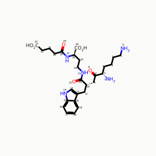 NCCCC[C@H](N)C(=O)C[C@H](Cc1c[nH]c2ccccc12)C(=O)NCC[C@@H](NC(=O)CCCC(=O)O)C(=O)O